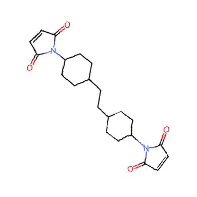 O=C1C=CC(=O)N1C1CCC(CCC2CCC(N3C(=O)C=CC3=O)CC2)CC1